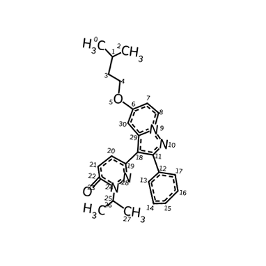 CC(C)CCOc1ccn2nc(-c3ccccc3)c(-c3ccc(=O)n(C(C)C)n3)c2c1